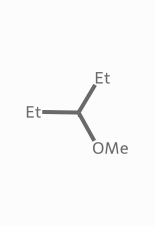 CC[C](CC)OC